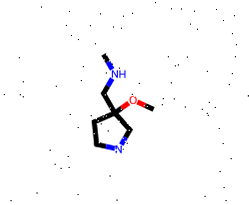 CNCC1(OC)CC[N]C1